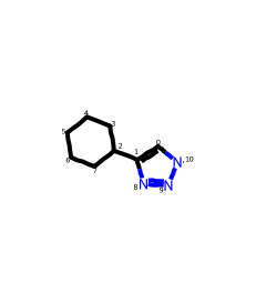 C1=C(C2CCCCC2)N=N[N]1